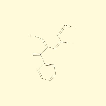 C\C=C/C(C)=C\C(=C\C)C(=O)c1ccccc1